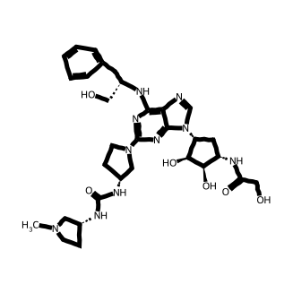 CN1CC[C@@H](NC(=O)N[C@@H]2CCN(c3nc(N[C@H](CO)Cc4ccccc4)c4ncn([C@@H]5C[C@H](NC(=O)CO)[C@@H](O)[C@H]5O)c4n3)C2)C1